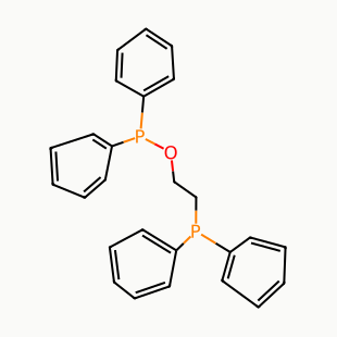 c1ccc(P(CCOP(c2ccccc2)c2ccccc2)c2ccccc2)cc1